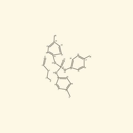 CCCC=O.Cc1ccc(OP(=O)(Oc2ccc(C)cc2)Oc2ccc(C)cc2)cc1